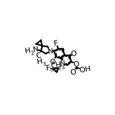 COc1c(N2CC(C)(N)C3(CC3)C2)c(F)cc2c(=O)c(OC(=O)O)cn([C@@H]3C[C@@H]3F)c12